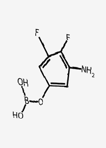 Nc1cc(OB(O)O)cc(F)c1F